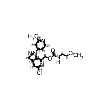 COCCNC(=O)OCc1nc(Cl)cc2cnn(-c3ccnc(C)c3)c12